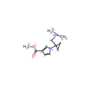 COC(=O)c1ccn(C2(CN(C)C)CC2)c1